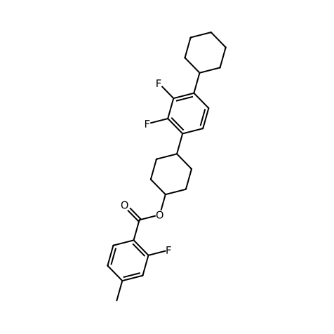 Cc1ccc(C(=O)OC2CCC(c3ccc(C4CCCCC4)c(F)c3F)CC2)c(F)c1